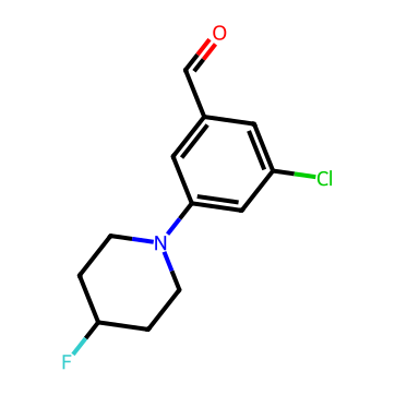 O=Cc1cc(Cl)cc(N2CCC(F)CC2)c1